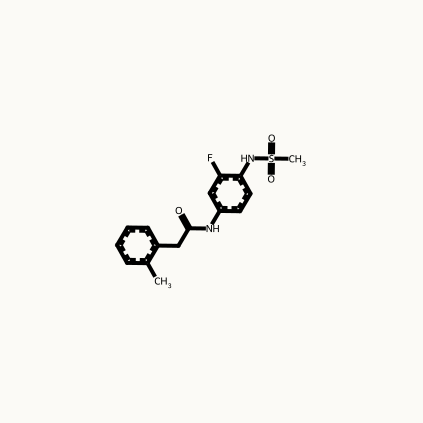 Cc1ccccc1CC(=O)Nc1ccc(NS(C)(=O)=O)c(F)c1